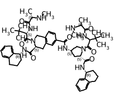 CN[C@@H](C)C(=O)NC(C(=O)N1C[C@@H](NC(=O)c2ccc3c(c2)C[C@@H](C(=O)N[C@@H]2CCCc4ccccc42)N(C(=O)[C@@H](NC(=O)[C@H](C)NC)C(C)(C)C)C3)C[C@H]1C(=O)N[C@@H]1CCCc2ccccc21)C(C)(C)C